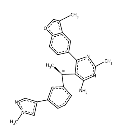 Cc1nc(N)c([C@H](C)c2cccc(-c3cnn(C)c3)c2)c(-c2ccc3occ(C)c3c2)n1